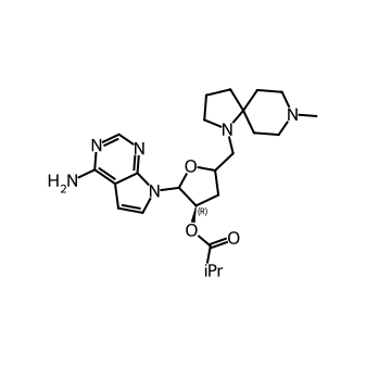 CC(C)C(=O)O[C@@H]1CC(CN2CCCC23CCN(C)CC3)OC1n1ccc2c(N)ncnc21